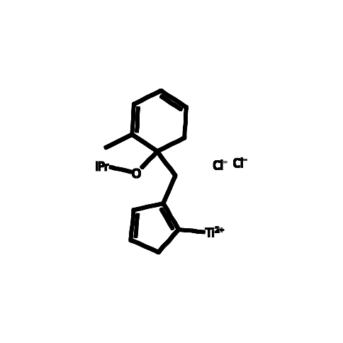 CC1=CC=CCC1(CC1=[C]([Ti+2])CC=C1)OC(C)C.[Cl-].[Cl-]